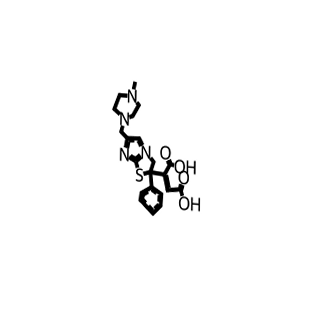 CN1CCN(Cc2cn3c(n2)SC(C(=CC(=O)O)C(=O)O)(c2ccccc2)C3)CC1